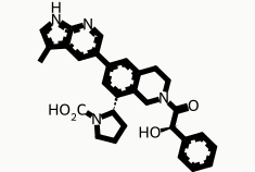 Cc1c[nH]c2ncc(-c3cc4c(c([C@@H]5CCCN5C(=O)O)c3)CN(C(=O)[C@H](O)c3ccccc3)CC4)cc12